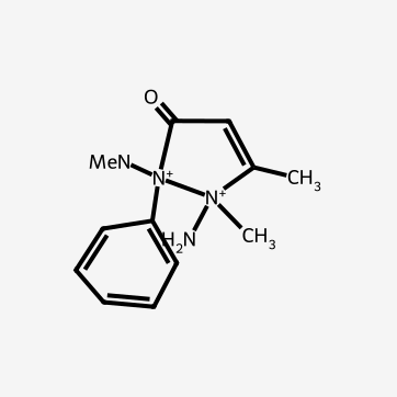 CN[N+]1(c2ccccc2)C(=O)C=C(C)[N+]1(C)N